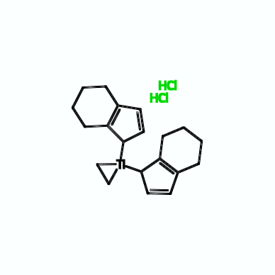 C1=C[CH]([Ti]2([CH]3C=CC4=C3CCCC4)[CH2][CH2]2)C2=C1CCCC2.Cl.Cl